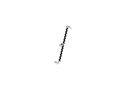 CCCCCCCCCCCCCCN([C]=O)CCCCCCCCCCCCCC